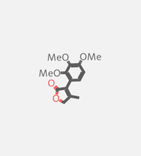 COc1ccc(C2=C(C)COC2=O)c(OC)c1OC